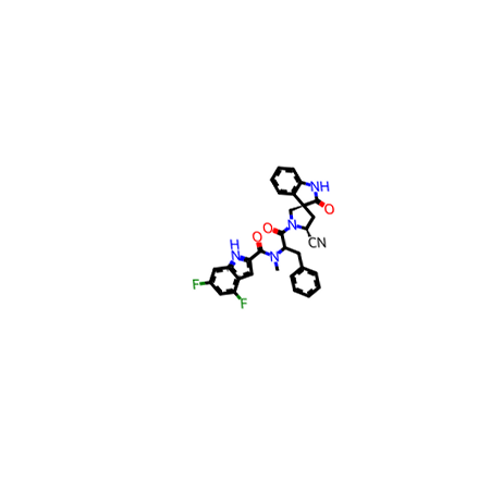 CN(C(=O)c1cc2c(F)cc(F)cc2[nH]1)C(Cc1ccccc1)C(=O)N1C[C@]2(C[C@H]1C#N)C(=O)Nc1ccccc12